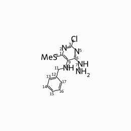 CSc1nc(Cl)nc(NN)c1NCc1ccccc1